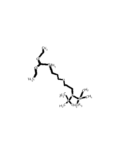 CCOC(OCC)[SiH2]CCCOCCN([Si](C)(C)C)[Si](C)(C)C